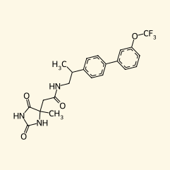 CC(CNC(=O)CC1(C)NC(=O)NC1=O)c1ccc(-c2cccc(OC(F)(F)F)c2)cc1